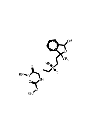 CC(C)(C)OC(=O)N[C@@H](CCS(=N)(=O)CCC1(C(F)(F)F)OC(O)c2ccccc21)C(=O)OC(C)(C)C